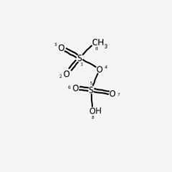 CS(=O)(=O)OS(=O)(=O)O